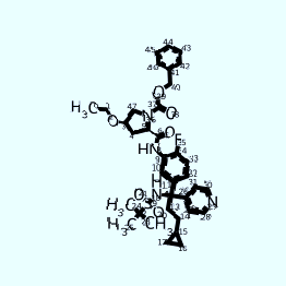 CCO[C@@H]1C[C@H](C(=O)Nc2cc(C(CCC3CC3)(NS(=O)(=O)C(C)(C)C)c3ccncc3)ccc2F)N(C(=O)OCc2ccccc2)C1